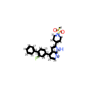 CS(=O)(=O)N1CC=C(c2cc3c(-c4ccc(-c5ccccc5)c(F)c4)ccnc3[nH]2)CC1